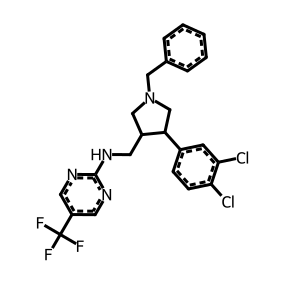 FC(F)(F)c1cnc(NCC2CN(Cc3ccccc3)CC2c2ccc(Cl)c(Cl)c2)nc1